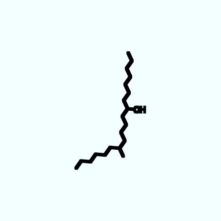 CCCCCCCC(O)CCCCC(C)CCCCCC